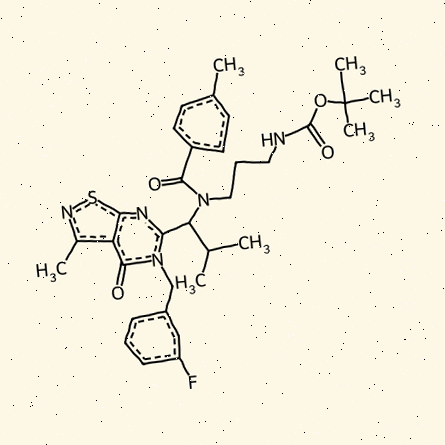 Cc1ccc(C(=O)N(CCCNC(=O)OC(C)(C)C)C(c2nc3snc(C)c3c(=O)n2Cc2cccc(F)c2)C(C)C)cc1